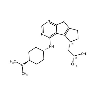 C[C@@H](O)C[C@H]1CCc2sc3ncnc(N[C@H]4CC[C@H](N(C)C)CC4)c3c21